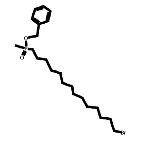 CP(=O)(CCCCCCCCCCCCCCBr)OCc1ccccc1